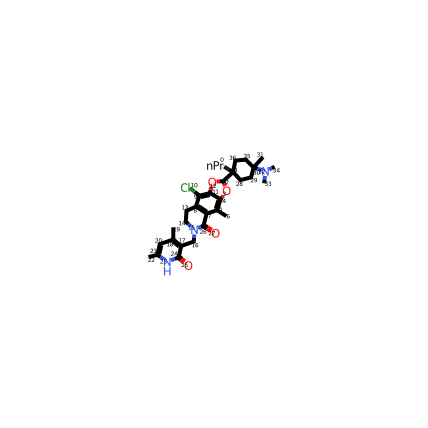 CCCC1(C2Oc3c(C)c4c(c(Cl)c3O2)CCN(Cc2c(C)cc(C)[nH]c2=O)C4=O)CCC(C)(N(C)C)CC1